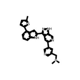 Cc1ccc(-c2cccc3[nH]c(-c4n[nH]c5cnc(-c6cncc(CN(C)C)c6)cc45)cc23)s1